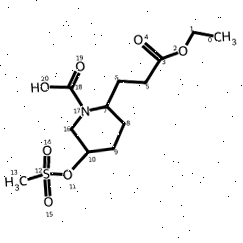 CCOC(=O)CCC1CCC(OS(C)(=O)=O)CN1C(=O)O